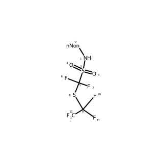 CCCCCCCCCNS(=O)(=O)C(F)(F)SC(F)(F)C(F)(F)F